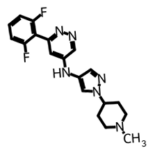 CN1CCC(n2cc(Nc3cnnc(-c4c(F)cccc4F)c3)cn2)CC1